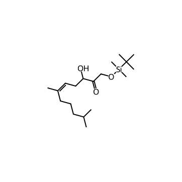 CC(=CCC(O)C(=O)CO[Si](C)(C)C(C)(C)C)CCCC(C)C